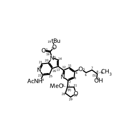 CO[C@@]1(c2cc(OCC[C@H](C)O)cc(-c3cn(C(=O)OC(C)(C)C)c4cnc(NC(C)=O)cc34)n2)CCOC1